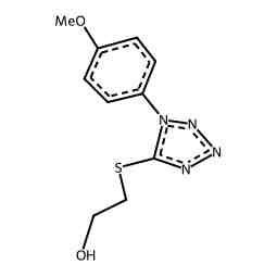 COc1ccc(-n2nnnc2SCCO)cc1